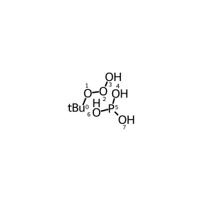 CC(C)(C)OOO.OP(O)O